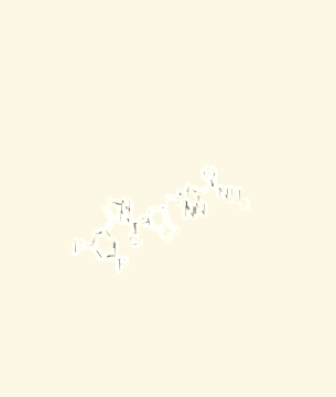 NC(=O)c1cn(CC2C[C@H](C(=O)N3N=CCC3c3cc(F)cc(F)c3)C3CCC23)nn1